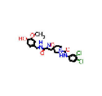 COc1cc(CNC(=O)C2=NOC3(CCN(C(=O)Nc4ccc(Cl)c(Cl)c4)CC3)C2)ccc1O